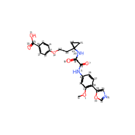 COc1cc(NC(=O)C(=O)NC2(CCOc3ccc(C(=O)O)cc3)CC2)ccc1-c1cnco1